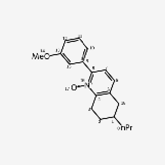 CCCC1CCc2c(ccc(-c3cccc(OC)c3)[n+]2[O-])C1